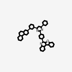 c1ccc(-c2cc(-c3cccc(-c4ccc5c(ccc6ccccc65)c4)c3)nc(-c3ccc(-c4nc5ccccc5c5c4oc4ccccc45)cc3)n2)cc1